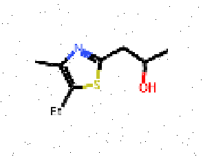 CCc1sc(CC(C)O)nc1C